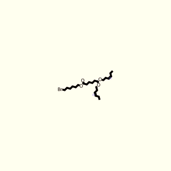 CC/C=C\CCOC(CCCCC(=O)OCCCCCCBr)OCC/C=C\CC